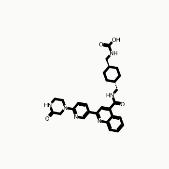 O=C(O)NC[C@H]1CC[C@H](CNC(=O)c2cc(-c3ccc(N4CCNC(=O)C4)nc3)nc3ccccc23)CC1